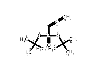 C=C=CP(=O)(OC(C)(C)C)OC(C)(C)C